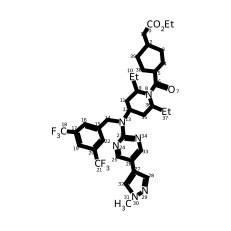 CCOC(=O)CC1CCC(C(=O)N2C(CC)CC(N(Cc3cc(C(F)(F)F)cc(C(F)(F)F)c3)c3ncc(-c4cnn(C)c4)cn3)CC2CC)CC1